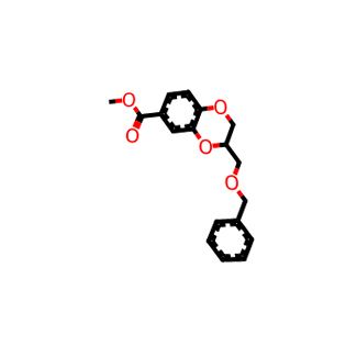 COC(=O)c1ccc2c(c1)OC(COCc1ccccc1)CO2